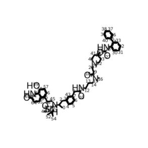 CC(Cc1cccc(CC(=O)NCCCN(C)C(=O)CCN2CCC(OC(=O)Nc3ccccc3-c3ccccc3)CC2)c1)NCC(O[Si](C)(C)C(C)(C)C)c1ccc(O)c2[nH]c(=O)ccc12